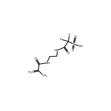 C=C(C)C(=O)NCCNC(=O)C(F)(F)S(=O)(=O)O